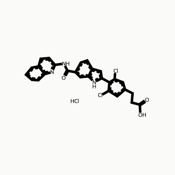 Cl.O=C(O)CCc1cc(Cl)c(-c2cc3ccc(C(=O)Nc4ccc5ccccc5n4)cc3[nH]2)c(Cl)c1